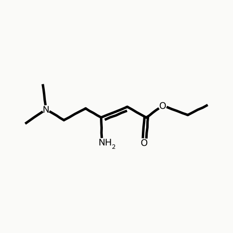 CCOC(=O)C=C(N)CCN(C)C